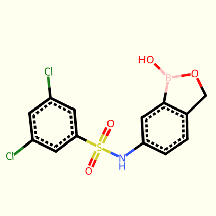 O=S(=O)(Nc1ccc2c(c1)B(O)OC2)c1cc(Cl)cc(Cl)c1